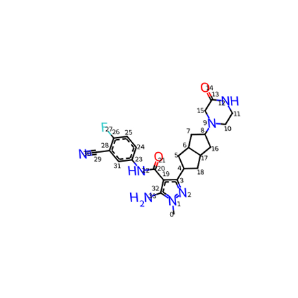 Cn1nc(C2CC3CC(N4CCNC(=O)C4)CC3C2)c(C(=O)Nc2ccc(F)c(C#N)c2)c1N